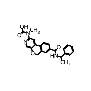 C[C@@H](NC(=O)c1ccc2c(c1)COc1cnc(N(C)C(=O)O)cc1-2)c1ccccc1